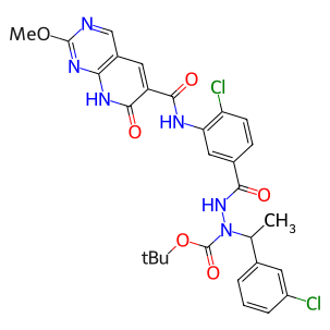 COc1ncc2cc(C(=O)Nc3cc(C(=O)NN(C(=O)OC(C)(C)C)C(C)c4cccc(Cl)c4)ccc3Cl)c(=O)[nH]c2n1